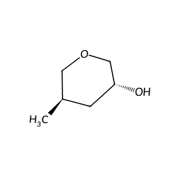 C[C@H]1COC[C@H](O)C1